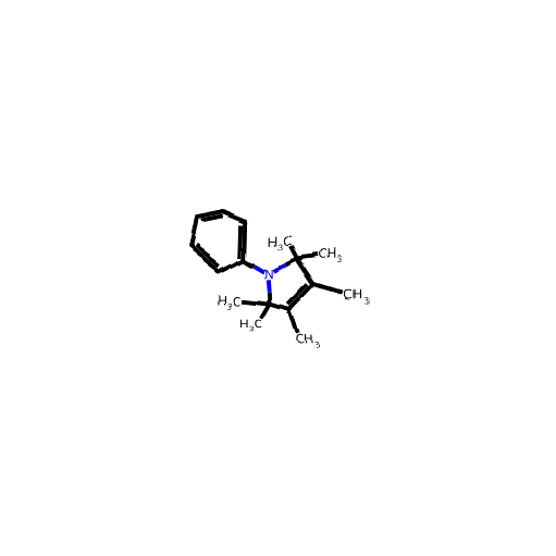 CC1=C(C)C(C)(C)N(c2ccccc2)C1(C)C